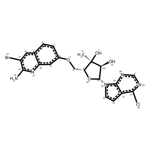 C[C@@]1(O)[C@@H](COc2ccc3cc(Br)c(N)nc3c2)O[C@@H](n2ccc3c(Cl)ncnc32)[C@@H]1O